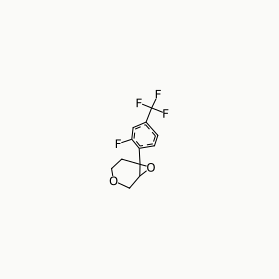 Fc1cc(C(F)(F)F)ccc1C12CCOCC1O2